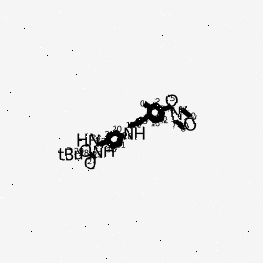 Cc1cc(C(=O)N2CCOCC2)ccc1C#CCNc1ccc(C(=N)NC(=O)OC(C)(C)C)cc1